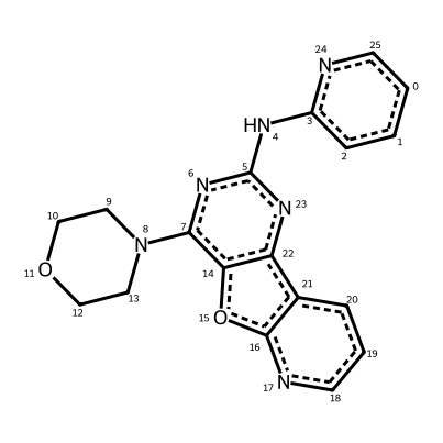 c1ccc(Nc2nc(N3CCOCC3)c3oc4ncccc4c3n2)nc1